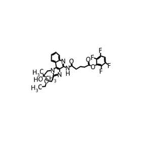 CCOCc1nc2c(NC(=O)CCCC(=O)Oc3c(F)c(F)cc(F)c3F)nc3ccccc3c2n1CC(C)(C)O